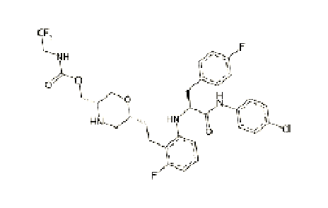 O=C(NCC(F)(F)F)OC[C@@H]1CO[C@H](CCc2c(F)cccc2N[C@@H](Cc2ccc(F)cc2)C(=O)Nc2ccc(Cl)cc2)CN1